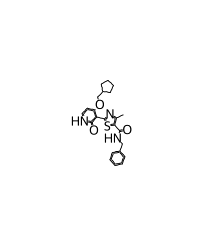 Cc1nc(-c2c(OCC3CCCC3)cc[nH]c2=O)sc1C(=O)NCc1ccccc1